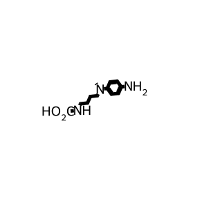 CN(CCCCNC(=O)O)c1ccc(N)cc1